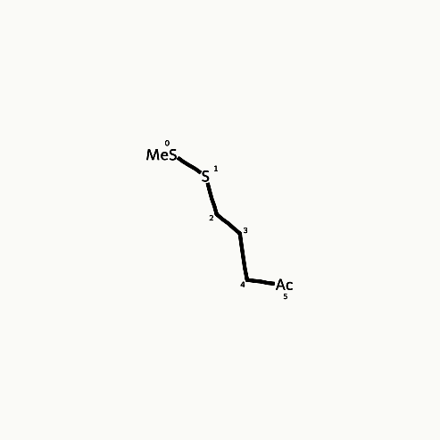 CSSCCCC(C)=O